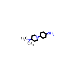 CN(C)C1CCN(C2CCC(N)CC2)CC1